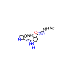 COc1c(C(=O)NCCNC(C)=O)ccc2[nH]nc(/C=C/c3cccnc3)c12